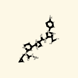 CC(=O)c1ccc(-n2cc(NC(=O)c3coc(-c4ccnc(N(CC5CC5)C(=O)OC(C)(C)C)c4)n3)c(C(F)F)n2)cc1